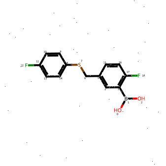 OB(O)c1cc(CSc2ccc(F)cc2)ccc1F